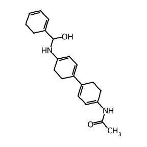 CC(=O)NC1=CC=C(C2=CC=C(NC(O)C3=CC=CCC3)CC2)CC1